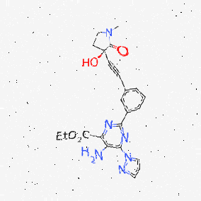 CCOC(=O)c1nc(-c2cccc(C#C[C@]3(O)CCN(C)C3=O)c2)nc(-n2cccn2)c1N